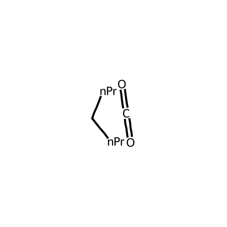 CCCCCCC.O=C=O